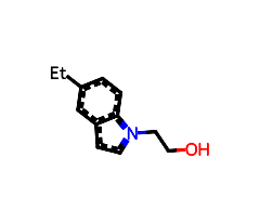 CCc1ccc2c(ccn2CCO)c1